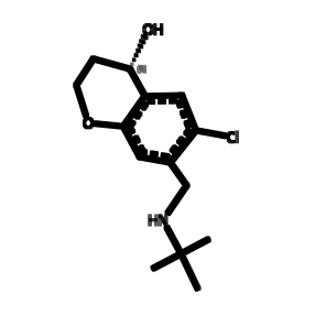 CC(C)(C)NCc1cc2c(cc1Cl)[C@@H](O)CCO2